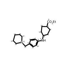 CCOC(=O)C1CCC(Nc2ccc(CN3CCCCC3)cc2)CC1